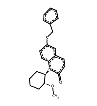 CO[C@@H]1CCCC[C@H]1n1c(=O)ccc2cc(SCc3ccccc3)ccc21